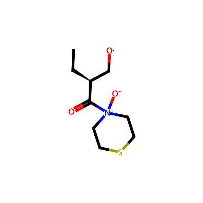 CC[C@@H](C[O])C(=O)[N+]1([O-])CCSCC1